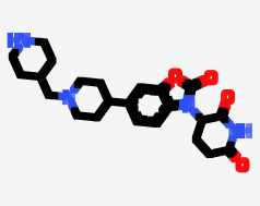 O=C1CCC(n2c(=O)oc3cc(C4CCN(CC5CCNCC5)CC4)ccc32)C(=O)N1